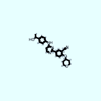 CC(O)c1ccc(Nc2ccnc(-c3ccc(OC4CCOCC4)c(C#N)c3)n2)cc1